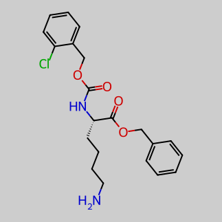 NCCCC[C@H](NC(=O)OCc1ccccc1Cl)C(=O)OCc1ccccc1